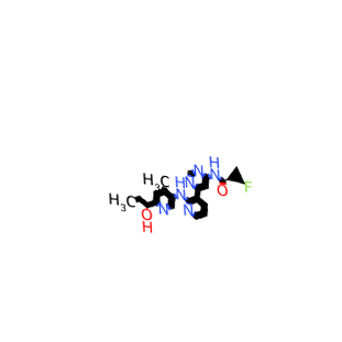 CC[C@@H](O)c1cc(C)c(Nc2ncccc2-c2cc(NC(=O)[C@@H]3C[C@@H]3F)ncn2)cn1